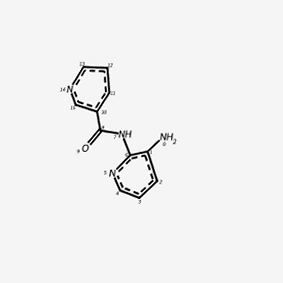 Nc1cccnc1NC(=O)c1cccnc1